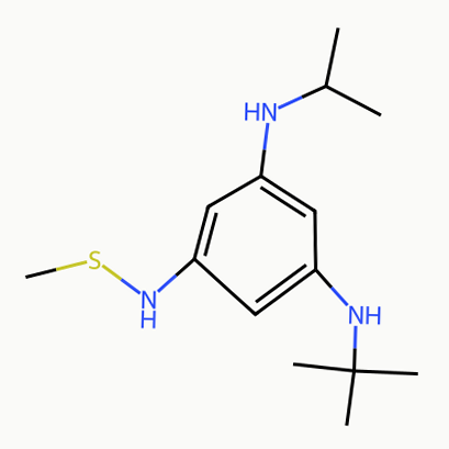 CSNc1cc(NC(C)C)cc(NC(C)(C)C)c1